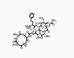 CC[C@@H](C)[C@@H](NC(=O)[C@@H](CCC(N)=O)NC(=O)[C@H](CO)NC(=O)[C@@H](NC(=O)[C@@H](CCc1ccccc1)NC)[C@@H](C)CC)C(=O)N[C@H](C(=O)N[C@@H](CO)C(=O)N[C@H]1C(=O)N[C@@H](C)C(=O)N[C@@H](C(C)C)C(=O)N[C@@H]([C@@H](C)CC)C(=O)O[C@H]1C)[C@@H](C)CC